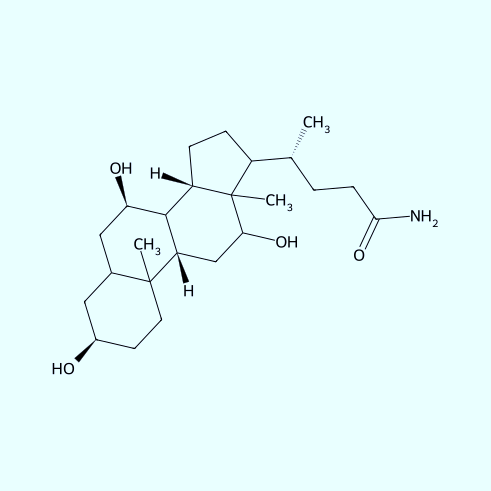 C[C@H](CCC(N)=O)C1CC[C@H]2C3[C@H](O)CC4C[C@H](O)CCC4(C)[C@H]3CC(O)C12C